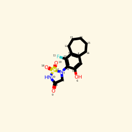 O=C1CN(c2c(O)cc3c(c2F)CCCCC3)S(=O)(=O)N1